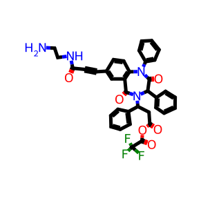 NCCNC(=O)C#Cc1ccc2c(c1)C(=O)N(C(CC(=O)OC(=O)C(F)(F)F)c1ccccc1)C(c1ccccc1)C(=O)N2c1ccccc1